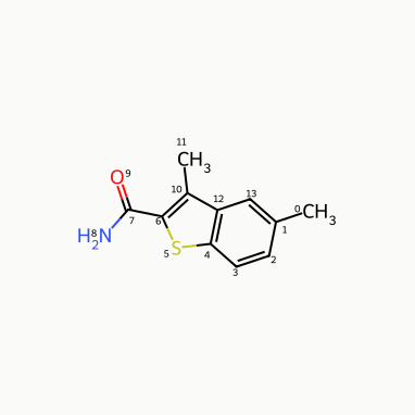 Cc1ccc2sc(C(N)=O)c(C)c2c1